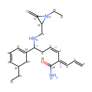 C=C/C=C(\C=C/CC(NCC1C(=C)N1CC)C1=CC=CC(CC)C1)C(N)=O